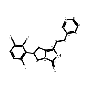 Fc1ccc(Cl)c(F)c1C1Cc2c(CCc3cccnc3)[nH]c(=S)n2C1